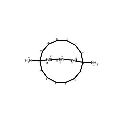 NC12CCCCCCC(N)(CCCCCC1)NNNNNN2